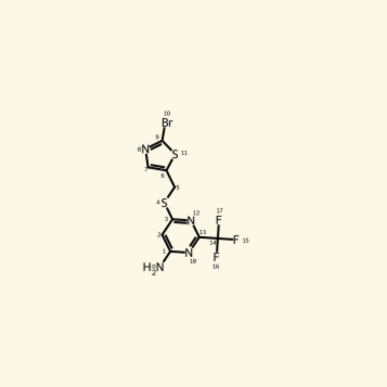 Nc1cc(SCc2cnc(Br)s2)nc(C(F)(F)F)n1